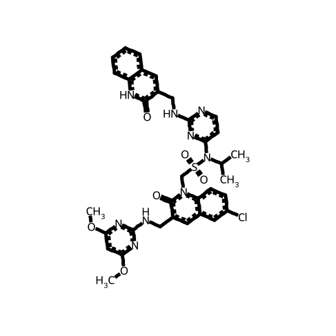 COc1cc(OC)nc(NCc2cc3cc(Cl)ccc3n(CS(=O)(=O)N(c3ccnc(NCc4cc5ccccc5[nH]c4=O)n3)C(C)C)c2=O)n1